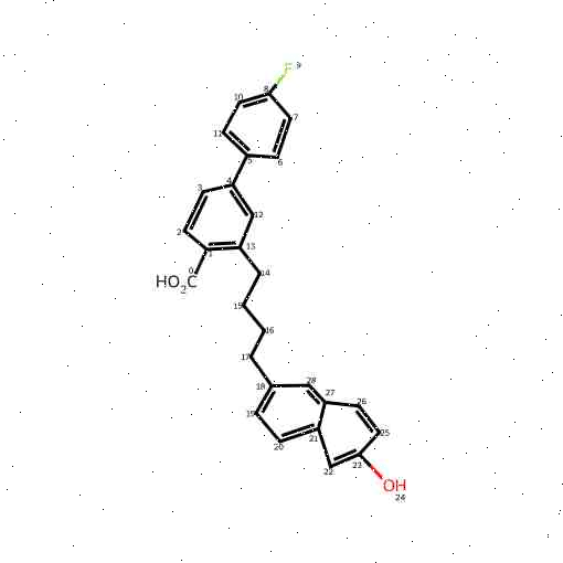 O=C(O)c1ccc(-c2ccc(F)cc2)cc1CCCCc1ccc2cc(O)ccc2c1